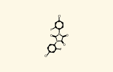 O=C1C(=O)N(c2ccc(Cl)cc2F)C(=O)N1c1ccc(Cl)cc1F